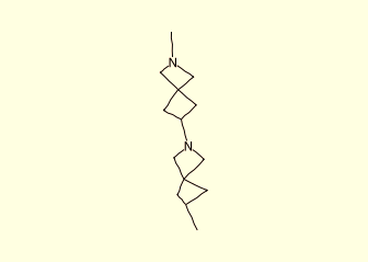 CC1CC2(C1)CN(C1CC3(C1)CN(C)C3)C2